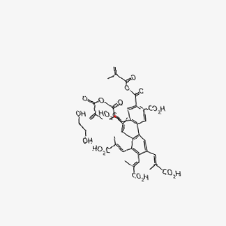 C=C(C)C(=O)OC(=O)C(C)=CC(C=C(C)C(=O)OC(=O)C(=C)C)=C(C=C(C)C(=O)O)c1cc(C=C(C)C(=O)O)c(C=C(C)C(=O)O)c(C=C(C)C(=O)O)c1C=C(C)C(=O)O.OCCO